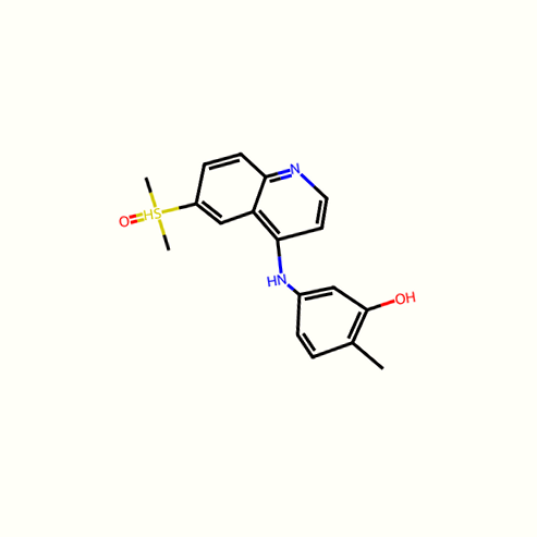 Cc1ccc(Nc2ccnc3ccc([SH](C)(C)=O)cc23)cc1O